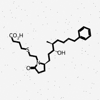 C[C@@H](CCCCc1ccccc1)[C@H](O)CC[C@H]1CCC(=O)N1CCSCCCC(=O)O